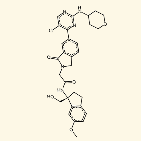 COc1ccc2c(c1)[C@](CO)(NC(=O)CN1Cc3ccc(-c4nc(NC5CCOCC5)ncc4Cl)cc3C1=O)CC2